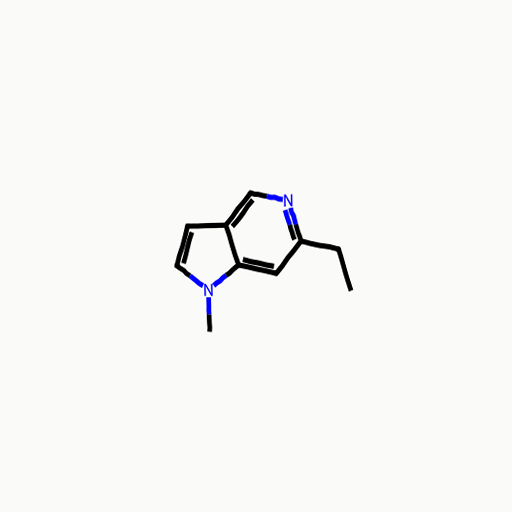 CCc1cc2c(ccn2C)cn1